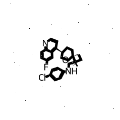 C[C@]1(C(=O)Nc2ccc(Cl)cc2)CC[C@]12CC[C@H](c1ccnc3ccc(F)cc31)CC2